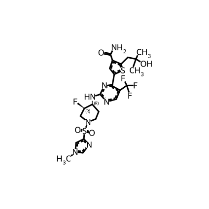 Cn1cnc(S(=O)(=O)N2CC[C@@H](Nc3ncc(C(F)(F)F)c(-c4cc(C(N)=O)c(CC(C)(C)O)s4)n3)[C@H](F)C2)c1